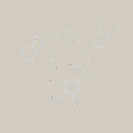 CCOCCn1c(NC2CCN(CCC(CN(C)C(=O)c3cc(OC)c(OC)c(OC)c3)c3ccc(C)c(C)c3)CC2)nc2ccccc21